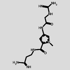 Cn1cc(NC(=O)CNC(=N)N)cc1C(=O)NCCC(=N)N